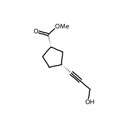 COC(=O)[C@H]1CC[C@@H](C#CCO)C1